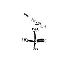 O=P(O)(O)O.[Fe].[Fe].[LiH].[LiH]